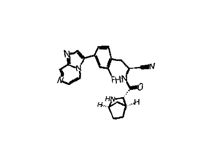 N#C[C@H](Cc1ccc(-c2cnc3cnccn23)cc1F)NC(=O)[C@H]1N[C@@H]2CC[C@H]1C2